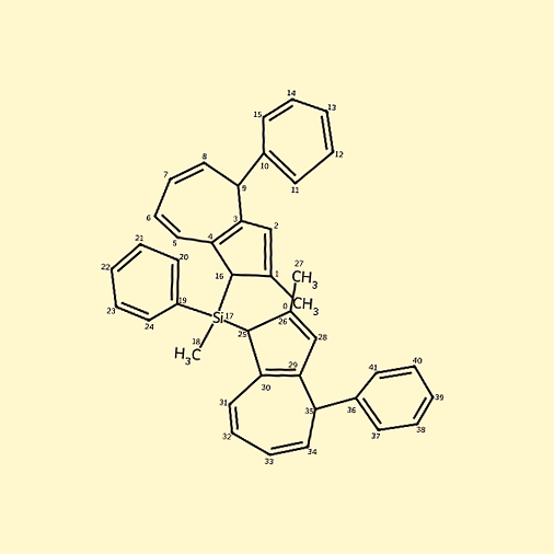 CC1=CC2=C(C=CC=CC2c2ccccc2)C1[Si](C)(c1ccccc1)C1C(C)=CC2=C1C=CC=CC2c1ccccc1